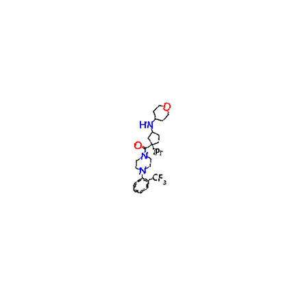 CC(C)[C@]1(C(=O)N2CCN(c3ccccc3C(F)(F)F)CC2)CCC(NC2CCOCC2)C1